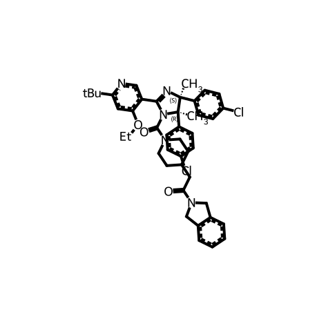 CCOc1cc(C(C)(C)C)ncc1C1=N[C@@](C)(c2ccc(Cl)cc2)[C@@](C)(c2ccc(Cl)cc2)N1C(=O)N1CCC(CC(=O)N2Cc3ccccc3C2)CC1